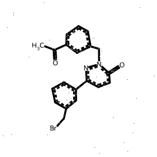 CC(=O)c1cccc(Cn2nc(-c3cccc(CBr)c3)ccc2=O)c1